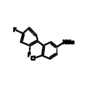 CNc1ccc(Cl)c(-c2ccc(F)cc2F)c1